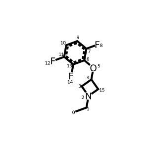 CCN1CC(Oc2c(F)ccc(F)c2F)C1